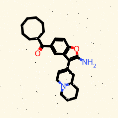 Nc1oc2ccc(C(=O)C3CCCCCCC3)cc2c1C1=CCN2CCCCC2C1